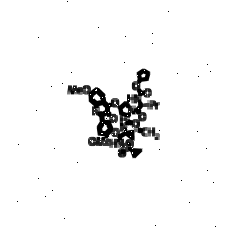 C=C[C@@H]1C[C@]1(NC(=O)[C@@H]1C[C@@H](Oc2c3ccc(OC)cc3nc3c2oc2cc(OC)ccc23)CN1C(=O)[C@@H](NC(=O)OC1CCCC1)C(C)C)C(=O)NS(=O)(=O)C1CC1